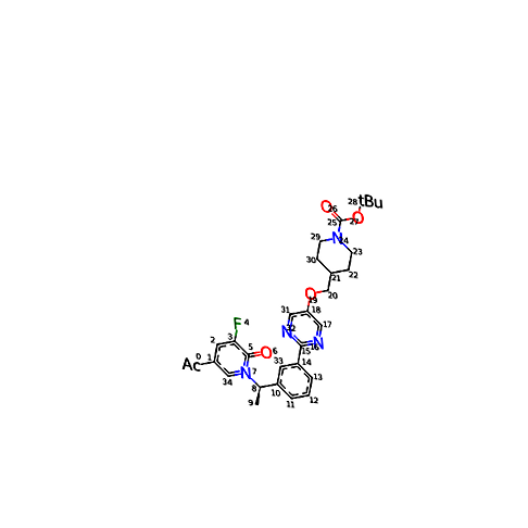 CC(=O)c1cc(F)c(=O)n([C@H](C)c2cccc(-c3ncc(OCC4CCN(C(=O)OC(C)(C)C)CC4)cn3)c2)c1